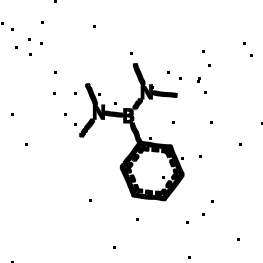 CN(C)B(c1ccccc1)N(C)C